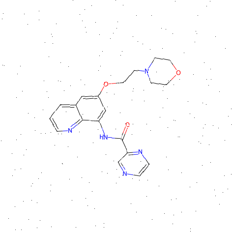 O=C(Nc1cc(OCCN2CCOCC2)cc2cccnc12)c1cnccn1